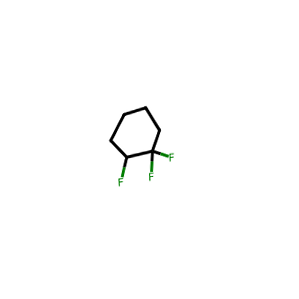 FC1CCCCC1(F)F